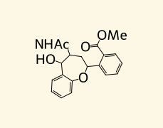 COC(=O)c1ccccc1C1CC(NC(C)=O)C(O)c2ccccc2O1